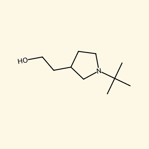 CC(C)(C)N1CCC(CCO)C1